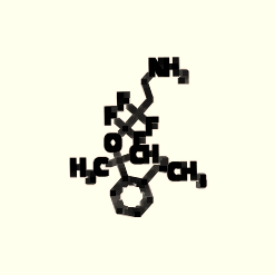 CCc1ccccc1C(C)(C)OC(F)(F)C(F)(F)CCN